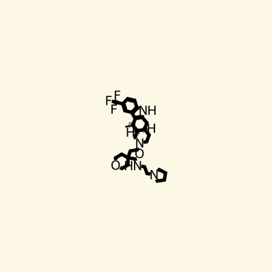 C[C@H]1c2c([nH]c3ccc(C(F)(F)F)cc23)C[C@H]2CCN(CCC3(C(=O)NCCN4CCCC4)CCOCC3)C[C@@H]21